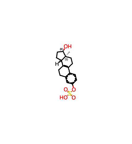 C[C@]12CCC3=C(CCc4cc(OS(=O)(=O)O)ccc43)[C@@H]1CC[C@H]2O